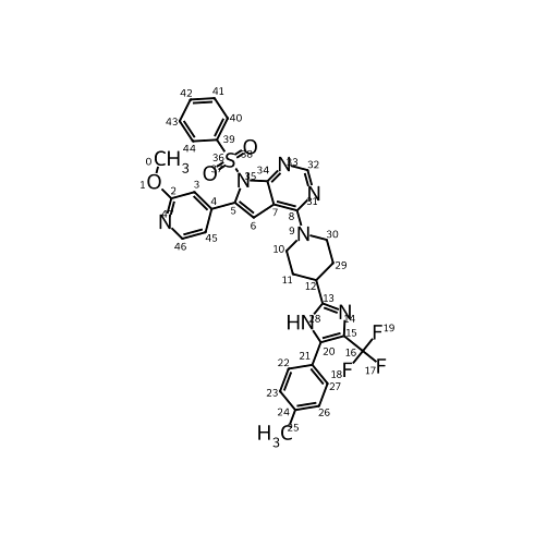 COc1cc(-c2cc3c(N4CCC(c5nc(C(F)(F)F)c(-c6ccc(C)cc6)[nH]5)CC4)ncnc3n2S(=O)(=O)c2ccccc2)ccn1